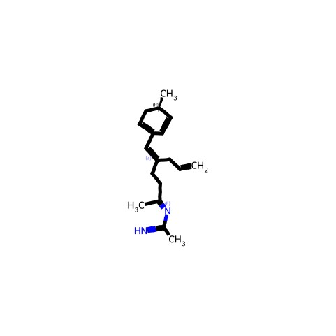 C=CC/C(=C\C1=CC[C@@H](C)C=C1)CC/C(C)=N/C(C)=N